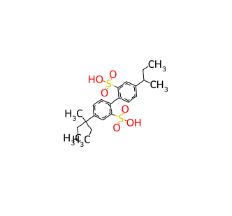 CCC(C)c1ccc(-c2ccc(C(C)(CC)CC)cc2S(=O)(=O)O)c(S(=O)(=O)O)c1